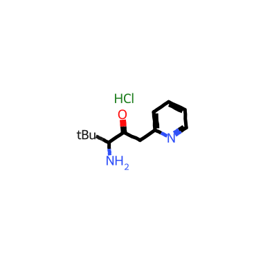 CC(C)(C)C(N)C(=O)Cc1ccccn1.Cl